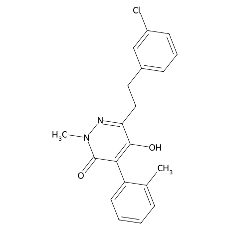 Cc1ccccc1-c1c(O)c(CCc2cccc(Cl)c2)nn(C)c1=O